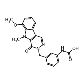 COc1cccc2c3cnn(Cc4cccc(NC(=O)O)c4)c(=O)c3n(C)c12